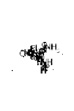 NC(=O)C1CCC(n2c(Nc3c(Cl)cc(Cl)cc3Cl)nc3cnc(NC4CC(F)(F)C4)nc32)CC1